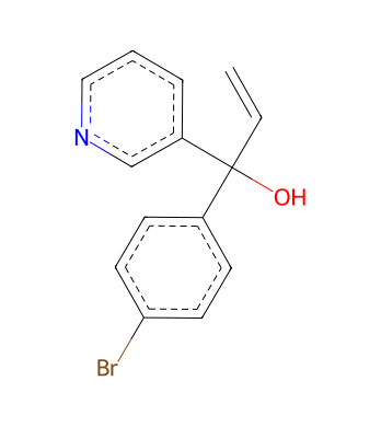 C=CC(O)(c1ccc(Br)cc1)c1cccnc1